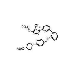 CO[C@H]1CC[C@@H](c2ccc(COc3ccccc3-c3cccc(-n4ncc(OC(=O)O)c4C(F)(F)F)n3)cc2)CC1